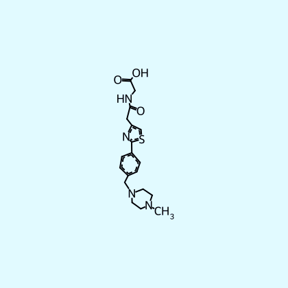 CN1CCN(Cc2ccc(-c3nc(CC(=O)NCC(=O)O)cs3)cc2)CC1